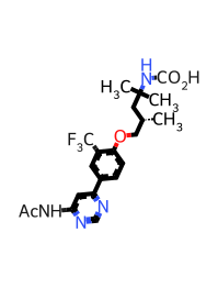 CC(=O)Nc1cc(-c2ccc(OC[C@@H](C)CC(C)(C)NC(=O)O)c(C(F)(F)F)c2)ncn1